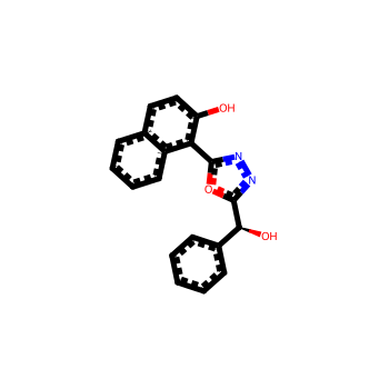 Oc1ccc2ccccc2c1-c1nnc([C@@H](O)c2ccccc2)o1